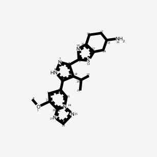 COc1cc(-c2[nH]nc(-c3nc4c(s3)CC(N)CC4)c2C(C)C)cn2ncnc12